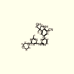 Cc1nc(Nc2nccc(-c3cc(C#N)c4c(c3)C(C)(CO)CN4)n2)cc(N2CCOCC2)n1